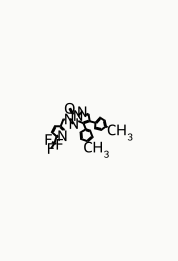 Cc1ccc(-c2cnn3c(=O)n(Cc4ccc(C(F)(F)F)nc4)nc3c2-c2ccc(C)cc2)cc1